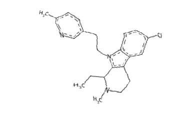 CCC1c2c(c3cc(Cl)ccc3n2CCc2ccc(C)nc2)CCN1C